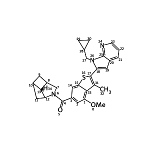 COc1cc(C(=O)N2CC3CC4CC2[C@H]43)cc2sc(-c3cc4cccnc4n3CC3CC3)c(C)c12